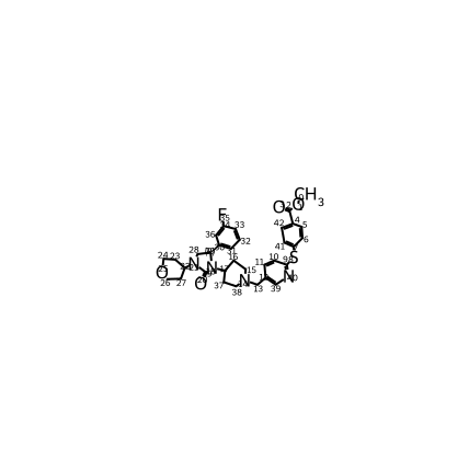 COC(=O)c1ccc(Sc2ccc(CN3CCC(N4C(=O)N(C5CCOCC5)C[C@H]4c4cccc(F)c4)CC3)cn2)cc1